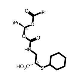 CC(C)C(=O)O[C@@H](OC(=O)NC[C@H](SC1CCCCC1)C(=O)O)C(C)C